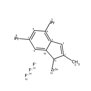 CC1=Cc2c(C(C)C)cc(C(C)C)cc2[CH]1[Zr+3].[F-].[F-].[F-]